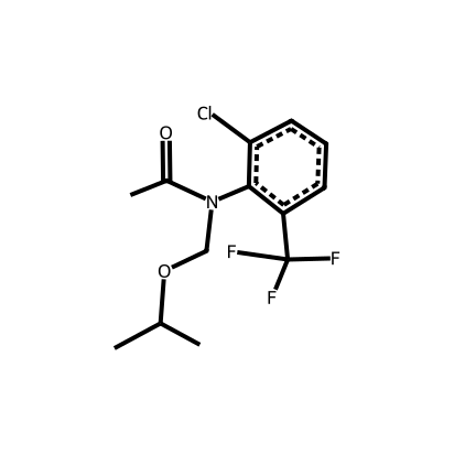 CC(=O)N(COC(C)C)c1c(Cl)cccc1C(F)(F)F